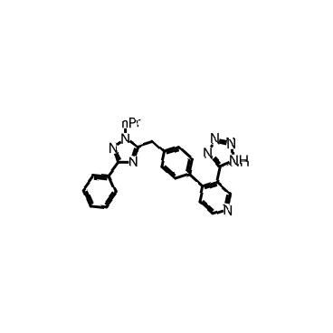 CCCn1nc(-c2ccccc2)nc1Cc1ccc(-c2ccncc2-c2nnn[nH]2)cc1